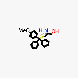 COc1ccc(C(SC[C@H](N)CO)(c2ccccc2)c2ccccc2)cc1